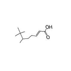 CC(CCC=CC(=O)O)C(C)(C)C